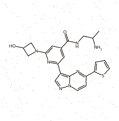 CC(N)CNC(=O)c1cc(-c2cnn3ccc(-c4cccs4)nc23)nc(N2CC(O)C2)c1